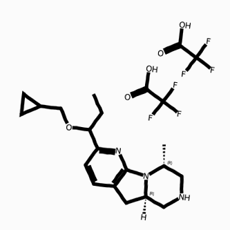 CCC(OCC1CC1)c1ccc2c(n1)N1[C@@H](CNC[C@H]1C)C2.O=C(O)C(F)(F)F.O=C(O)C(F)(F)F